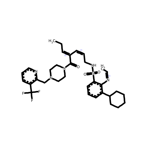 C/C=N\c1c(C2CCCCC2)cccc1S(=O)(=O)NC/C=C\C(=C/CC)C(=O)N1CCN(Cc2ncccc2C(F)(F)F)CC1